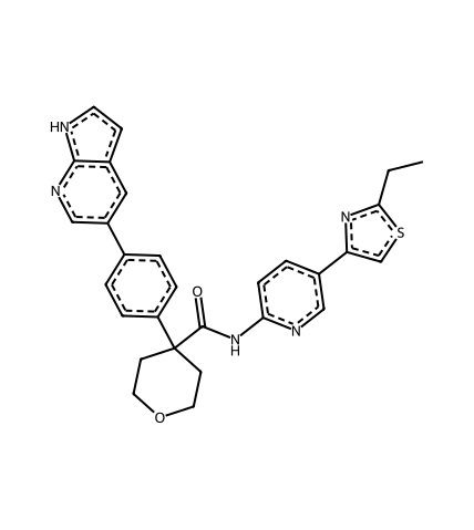 CCc1nc(-c2ccc(NC(=O)C3(c4ccc(-c5cnc6[nH]ccc6c5)cc4)CCOCC3)nc2)cs1